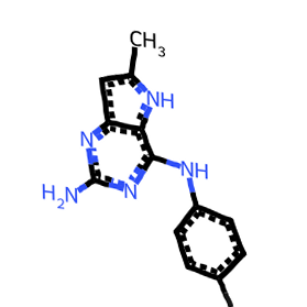 COc1ccc(Nc2nc(N)nc3cc(C)[nH]c23)cc1